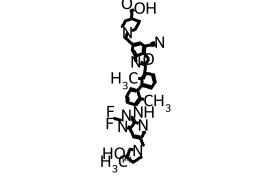 Cc1c(Nc2nc(C(F)F)nc3cc(CN4CC[C@@](C)(O)C4)cnc23)cccc1-c1cccc(-c2nc3cc(CN4CCC(C(=O)O)CC4)cc(C#N)c3o2)c1C